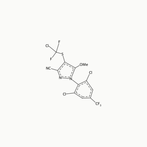 COc1c(SC(F)(F)Cl)c(C#N)nn1-c1c(Cl)cc(C(F)(F)F)cc1Cl